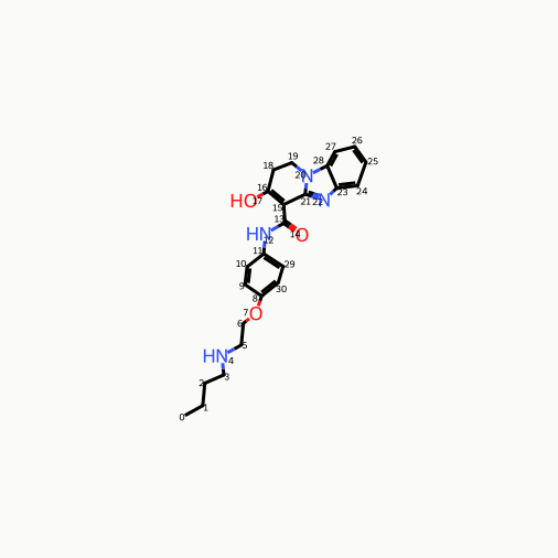 CCCCNCCOc1ccc(NC(=O)C2=C(O)CCn3c2nc2ccccc23)cc1